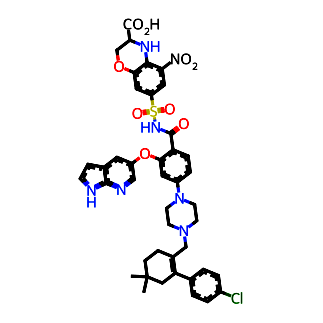 CC1(C)CCC(CN2CCN(c3ccc(C(=O)NS(=O)(=O)c4cc5c(c([N+](=O)[O-])c4)NC(C(=O)O)CO5)c(Oc4cnc5[nH]ccc5c4)c3)CC2)=C(c2ccc(Cl)cc2)C1